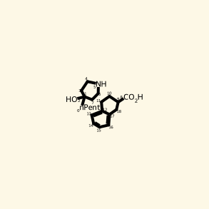 CCCCCC1(O)CCNCC1.O=C(O)C1CCc2ccccc2C1